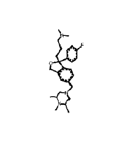 CC1CN(Cc2ccc3c(c2)COC3(CCCN(C)C)c2ccc(F)cc2)CC(C)N1C